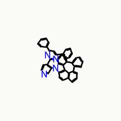 c1ccc(-c2cc(-c3ccccc3)nc(-c3ccncc3-n3c4cccc5c4c4c6c(cccc6ccc43)-c3ccccc3-5)n2)cc1